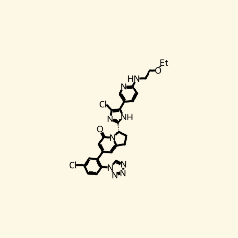 CCOCCNc1ccc(-c2[nH]c([C@@H]3CCc4cc(-c5cc(Cl)ccc5-n5cnnn5)cc(=O)n43)nc2Cl)cn1